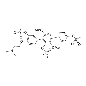 COc1cc(-c2ccc(OS(C)(=O)=O)cc2)c(OC)c(OS(C)(=O)=O)c1-c1ccc(OCCN(C)C)c(OS(C)(=O)=O)c1